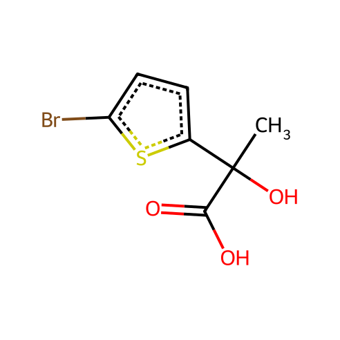 CC(O)(C(=O)O)c1ccc(Br)s1